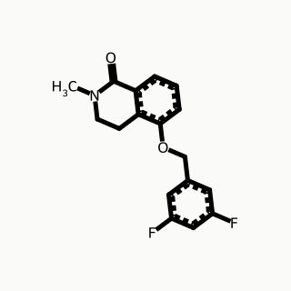 CN1CCc2c(OCc3cc(F)cc(F)c3)cccc2C1=O